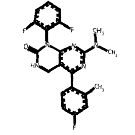 Cc1cc(F)ccc1-c1nc(N(C)C)nc2c1CNC(=O)N2c1c(F)cccc1F